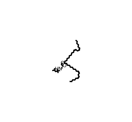 CCCCC/C=C\C/C=C\CCCCCCCCC1(CCCCCCCC/C=C\C/C=C\CCCCC)OC[C@H](CNCC(C)(C)CC(C)C)O1